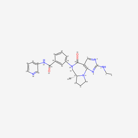 CCNc1ncc2c(n1)N1CCC[C@H]1CN(c1cccc(C(=O)Nc3cccnc3)c1)C2=O